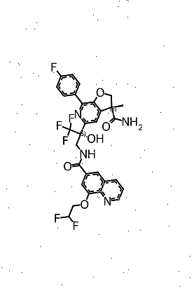 C[C@]1(C(N)=O)COc2c1cc([C@@](O)(CNC(=O)c1cc(OCC(F)F)c3ncccc3c1)C(F)(F)F)nc2-c1ccc(F)cc1